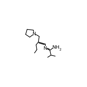 CCC/C(=C\N=C(/N)C(C)C)CN1CCCC1